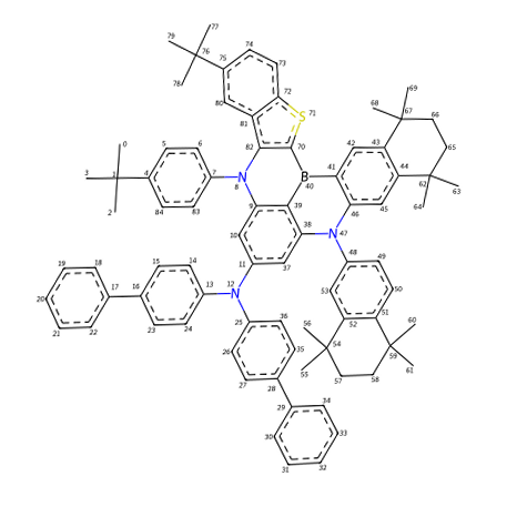 CC(C)(C)c1ccc(N2c3cc(N(c4ccc(-c5ccccc5)cc4)c4ccc(-c5ccccc5)cc4)cc4c3B(c3cc5c(cc3N4c3ccc4c(c3)C(C)(C)CCC4(C)C)C(C)(C)CCC5(C)C)c3sc4ccc(C(C)(C)C)cc4c32)cc1